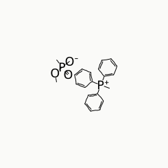 COP(C)(=O)[O-].C[P+](c1ccccc1)(c1ccccc1)c1ccccc1